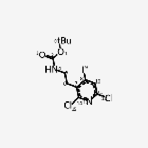 CC(C)(C)OC(=O)NCCc1c(I)cc(Cl)nc1Cl